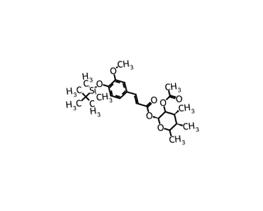 COc1cc(/C=C/C(=O)O[C@@H]2OC(C)[C@H](C)[C@H](C)C2OC(C)=O)ccc1O[Si](C)(C)C(C)(C)C